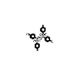 Cc1ccc(S(=O)(=O)N(SSN(c2ccc(Cl)cc2)S(=O)(=O)c2ccc(C)cc2)c2ccc(Cl)cc2)cc1